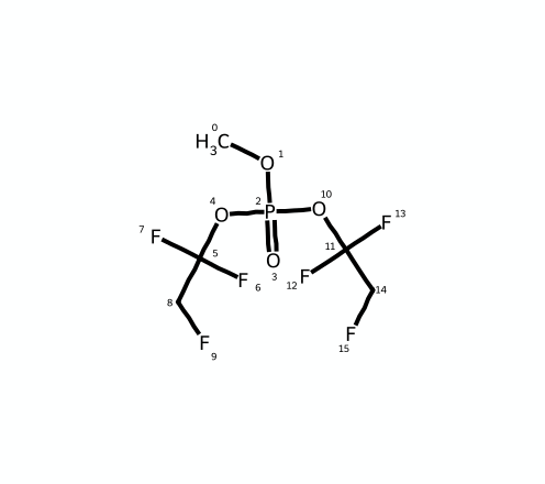 COP(=O)(OC(F)(F)CF)OC(F)(F)CF